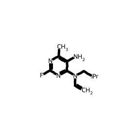 C=CN(CC(C)C)c1nc(F)nc(C)c1N